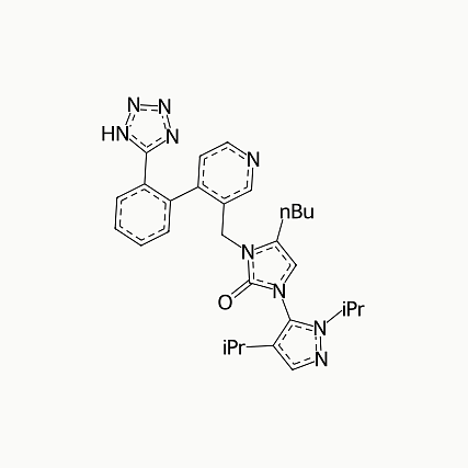 CCCCc1cn(-c2c(C(C)C)cnn2C(C)C)c(=O)n1Cc1cnccc1-c1ccccc1-c1nnn[nH]1